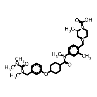 Cc1cc(N(C)C(=O)C2CCC(Oc3cccc(CN(C)C(=O)N(C)C)c3)CC2)ccc1CN1CCN(C(=O)O)[C@@H](C)C1